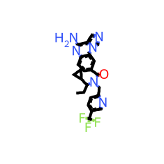 CCC(C1CC1)N(Cc1ccc(C(F)(F)F)cn1)C(=O)c1ccc2nc(N)c3cncn3c2c1